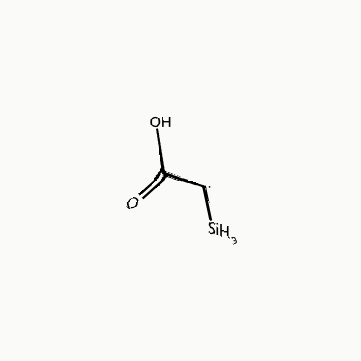 O=C(O)[CH][SiH3]